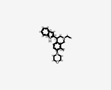 CCN1Cc2c(ccc(N3CCOCC3)c2F)C(c2cc3ccccc3[nH]2)C1